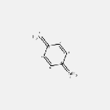 [SiH2]=c1ccc(=[SiH2])cc1